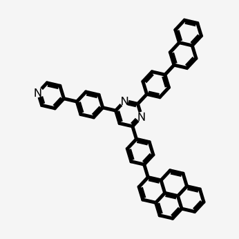 c1ccc2cc(-c3ccc(-c4nc(-c5ccc(-c6ccncc6)cc5)cc(-c5ccc(-c6ccc7ccc8cccc9ccc6c7c89)cc5)n4)cc3)ccc2c1